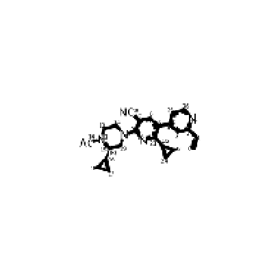 C=Cc1cc(-c2cc(C#N)c(N3CCN(C(C)=O)[C@H](C4CC4)C3)nc2C2CC2)ccn1